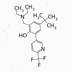 CCN(CC)Cc1cc(C(C)(C)C)cc(-c2ccc(C(F)(F)F)nc2)c1O